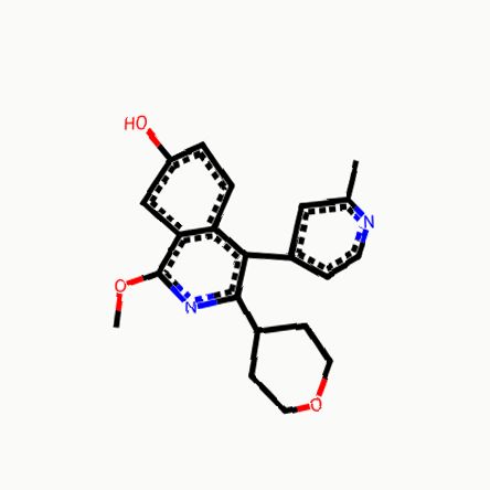 COc1nc(C2CCOCC2)c(-c2ccnc(C)c2)c2ccc(O)cc12